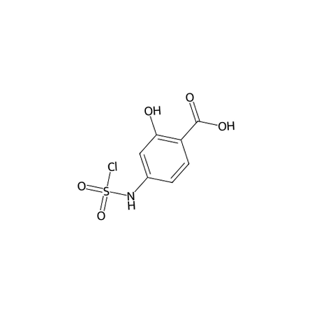 O=C(O)c1ccc(NS(=O)(=O)Cl)cc1O